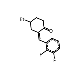 CCC1CCC(=O)/C(=C\c2cccc(F)c2F)C1